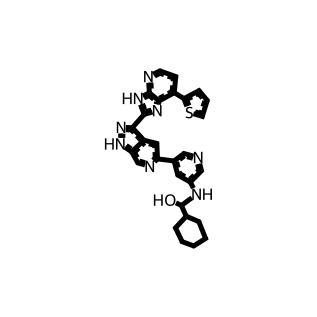 OC(Nc1cncc(-c2cc3c(-c4nc5c(-c6cccs6)ccnc5[nH]4)n[nH]c3cn2)c1)C1CCCCC1